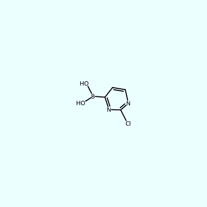 OB(O)c1ccnc(Cl)n1